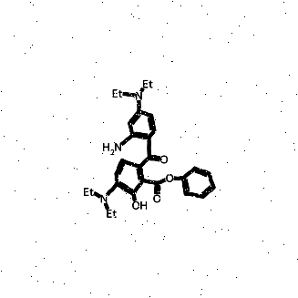 CCN(CC)c1ccc(C(=O)c2ccc(N(CC)CC)c(O)c2C(=O)Oc2ccccc2)c(N)c1